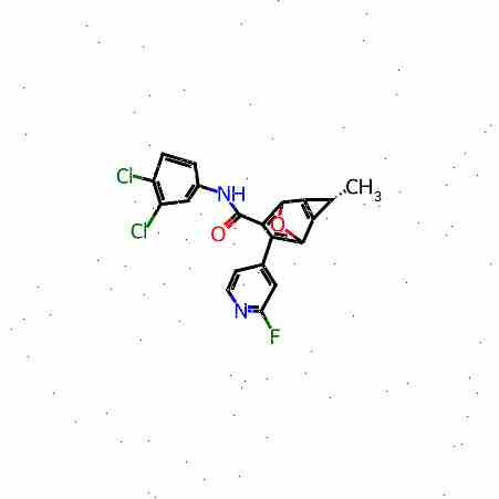 C[C@H]1c2c1c1oc2c(C(=O)Nc2ccc(Cl)c(Cl)c2)c1-c1ccnc(F)c1